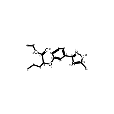 CCCC(Oc1cccc(-c2noc(C)n2)c1)C(=O)OCC